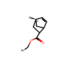 CC(=O)COC(=O)C1C[C@@H]2C=CC1C2